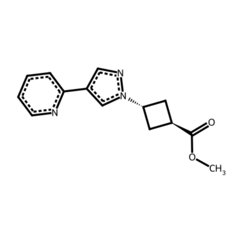 COC(=O)[C@H]1C[C@H](n2cc(-c3ccccn3)cn2)C1